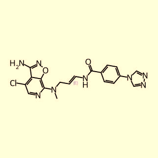 CN(C/C=C/NC(=O)c1ccc(-n2cnnc2)cc1)c1ncc(Cl)c2c(N)noc12